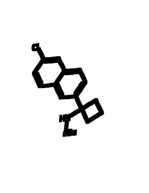 CCCCNC1(c2ccc3cc(Cl)ccc3c2)CCC1